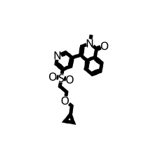 Cn1cc(-c2cncc(S(=O)(=O)CCOCC3CC3)c2)c2ccccc2c1=O